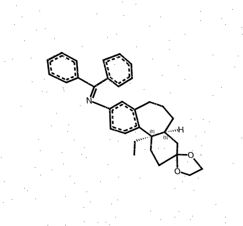 CC[C@@]12CCC3(C[C@@H]1CCCc1cc(N=C(c4ccccc4)c4ccccc4)ccc12)OCCO3